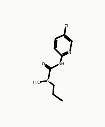 CN(CCI)C(=O)Nc1ccc(Cl)cn1